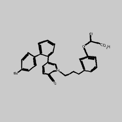 CCC(Oc1cccc(CCCn2cc(-c3ccccc3-c3ccc(C(C)(C)C)cc3)ccc2=O)c1)C(=O)O